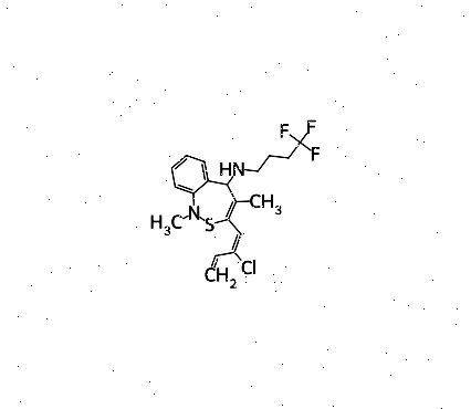 C=C/C(Cl)=C\C1=C(C)C(NCCCC(F)(F)F)c2ccccc2N(C)S1